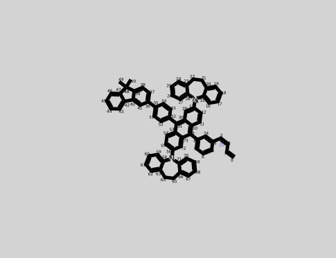 C=C/C=C\c1cccc(-c2c3ccc(N4c5ccccc5CCc5ccccc54)cc3c(-c3ccc(-c4ccc5c(c4)-c4ccccc4C5(C)C)cc3)c3ccc(N4c5ccccc5CCc5ccccc54)cc23)c1